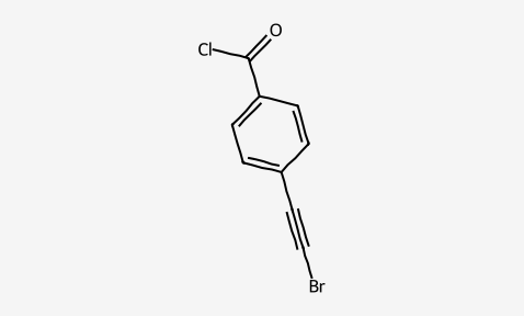 O=C(Cl)c1ccc(C#CBr)cc1